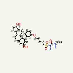 CCCCNC(=O)NS(=O)(=O)CCCCCOc1ccc([C@H]2C[C@@]3(C)C(CC[C@@H]3O)C3CCc4cc(O)ccc4C32)cc1